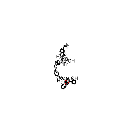 CC(C)[C@@H](C(=O)N1C[C@H](O)C[C@H]1C(=O)N[C@@H](C)c1ccc(C2CC2(F)F)cc1)c1cc(OCCN2CCC(O[C@H]3C[C@H](Oc4cc(N5C6CCC5CN(c5cc(-c7ccccc7O)nnc5N)C6)ccn4)C3)CC2)no1